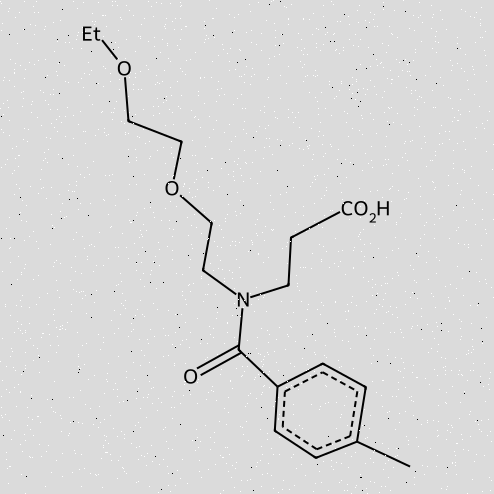 CCOCCOCCN(CCC(=O)O)C(=O)c1ccc(C)cc1